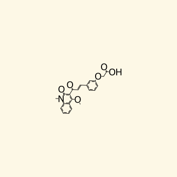 COc1c(C(=O)C=Cc2cccc(OCC(=O)O)c2)c(=O)n(C)c2ccccc12